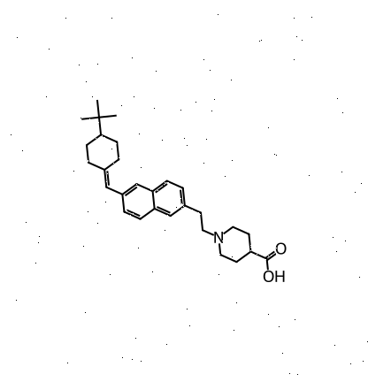 CC(C)(C)C1CCC(=Cc2ccc3cc(CCN4CCC(C(=O)O)CC4)ccc3c2)CC1